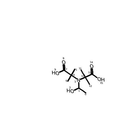 CC(O)N(C(C)(C)C(=O)O)C(C)(C)C(=O)O